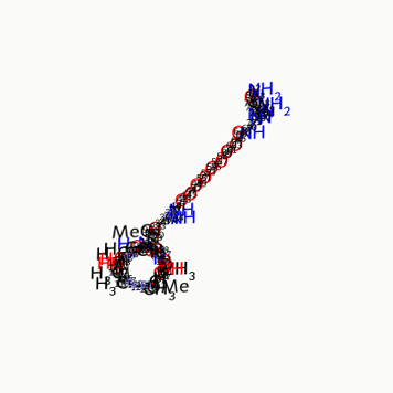 CO[C@H]1C[C@@H]2CC[C@@H](C)[C@@](O)(O2)C(=O)C(=O)N2CCCC[C@H]2C(=O)O[C@H]([C@H](N)C[C@@H]2CC[C@@H](OCCCC/C(=C/NCCOCCOCCOCCOCCOCCOCCOCCOCCC(=O)NCCCCn3nc(-c4ccc5oc(N)nc5c4)c4c(N)ncnc43)N=N)[C@H](OC)C2)CC(=O)[C@H](C)/C=C(\C)[C@@H](O)[C@@H](O)C(=O)[C@H](C)C[C@H](C)/C=C/C=C/C=C/1C